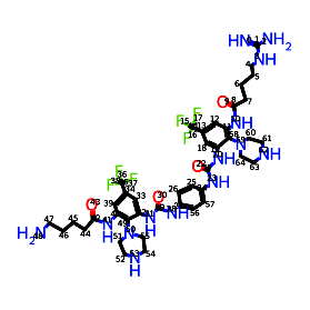 N=C(N)NCCCCC(=O)Nc1cc(C(F)(F)F)cc(NC(=O)Nc2ccc(NC(=O)Nc3cc(C(F)(F)F)cc(NC(=O)CCCCN)c3N3CCNCC3)cc2)c1N1CCNCC1